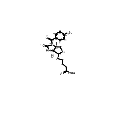 CC(C)(C)C(=O)CCCC[C@@H]1SC[C@H]2[C@@H]1NC(=O)N2C(=O)c1ccc(C(C)(C)C)cc1